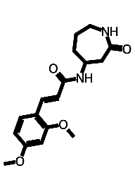 COc1ccc(C=CC(=O)NC2CCCNC(=O)C2)c(OC)c1